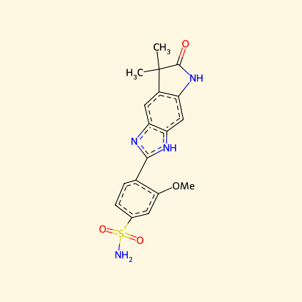 COc1cc(S(N)(=O)=O)ccc1-c1nc2cc3c(cc2[nH]1)NC(=O)C3(C)C